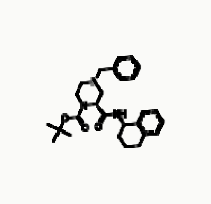 CC(C)(C)OC(=O)N1CCN(Cc2ccccc2)C[C@H]1C(=O)N[C@@H]1CCCc2ccccc21